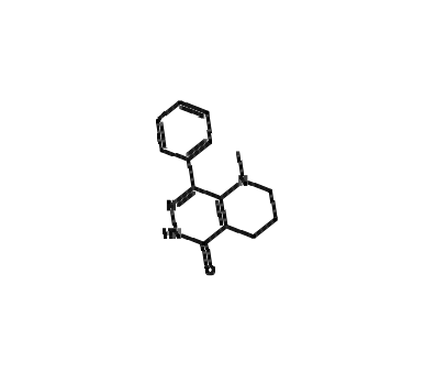 CN1CCCc2c1c(-c1ccccc1)n[nH]c2=O